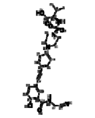 CC(C)[C@@H](NS(=O)(=O)N1CCN(c2ccc(C#Cc3ccc(Cl)c(C(=O)NCC#N)c3)cc2)CC1)C(=O)O